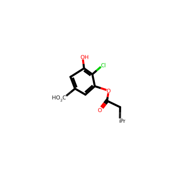 CC(C)CC(=O)Oc1cc(C(=O)O)cc(O)c1Cl